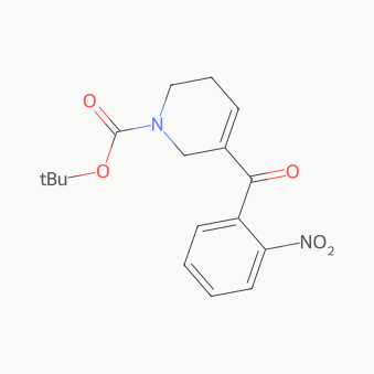 CC(C)(C)OC(=O)N1CCC=C(C(=O)c2ccccc2[N+](=O)[O-])C1